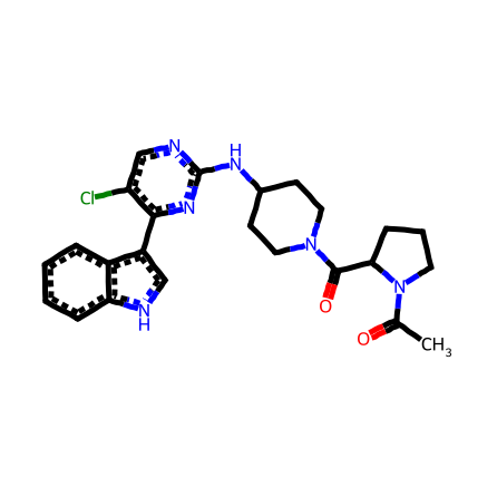 CC(=O)N1CCCC1C(=O)N1CCC(Nc2ncc(Cl)c(-c3c[nH]c4ccccc34)n2)CC1